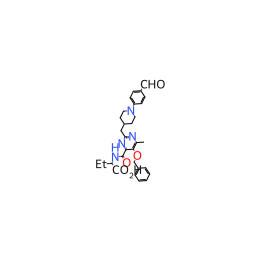 CCC(NC(=O)c1nc(CC2CCN(c3ccc(C=O)cc3)CC2)nc(C)c1OCc1ccccc1)C(=O)O